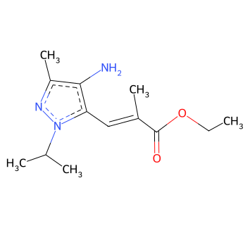 CCOC(=O)C(C)=Cc1c(N)c(C)nn1C(C)C